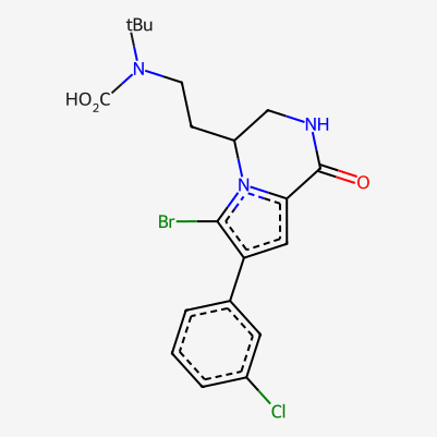 CC(C)(C)N(CCC1CNC(=O)c2cc(-c3cccc(Cl)c3)c(Br)n21)C(=O)O